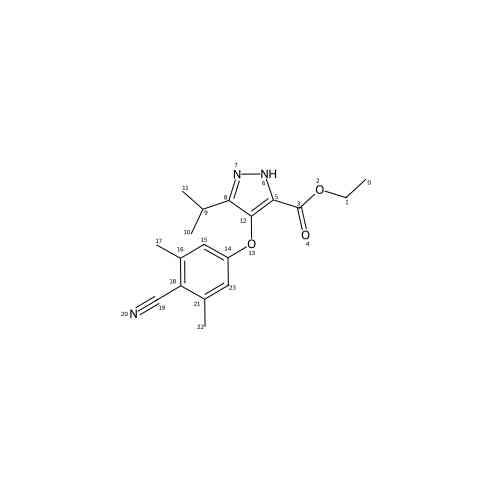 CCOC(=O)c1[nH]nc(C(C)C)c1Oc1cc(C)c(C#N)c(C)c1